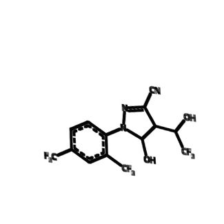 N#CC1=NN(c2ccc(C(F)(F)F)cc2C(F)(F)F)C(O)C1C(O)C(F)(F)F